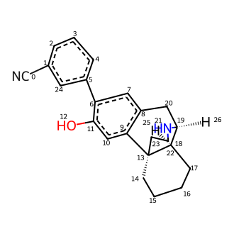 N#Cc1cccc(-c2cc3c(cc2O)[C@]24CCCC[C@@H]2[C@H](C3)NCC4)c1